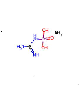 B.N=C(N)NP(=O)(O)O